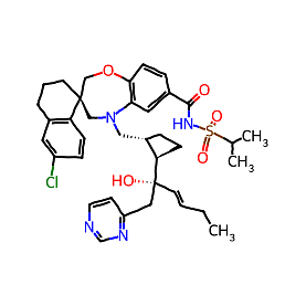 CC/C=C/[C@@](O)(Cc1ccncn1)[C@@H]1CC[C@H]1CN1C[C@@]2(CCCc3cc(Cl)ccc32)COc2ccc(C(=O)NS(=O)(=O)C(C)C)cc21